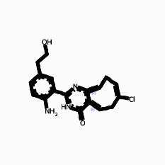 Nc1ccc(CCO)cc1-c1nc2/c(c(=O)[nH]1)=C\CC(Cl)=CC/C=2